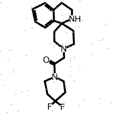 O=C(CN1CCC2(CC1)NCCc1ccccc12)N1CCC(F)(F)CC1